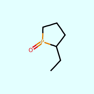 CCC1CCC[P]1=O